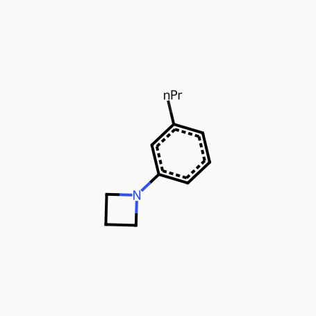 CCCc1cccc(N2CCC2)c1